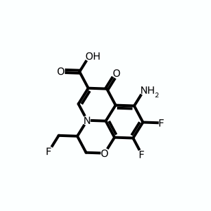 Nc1c(F)c(F)c2c3c1c(=O)c(C(=O)O)cn3C(CF)CO2